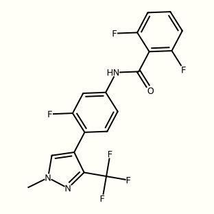 Cn1cc(-c2ccc(NC(=O)c3c(F)cccc3F)cc2F)c(C(F)(F)F)n1